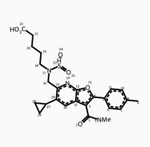 CNC(=O)c1c(-c2ccc(C)cc2)oc2nc(CN(CCCCC(=O)O)[SH](=O)=O)c(C3CC3)cc12